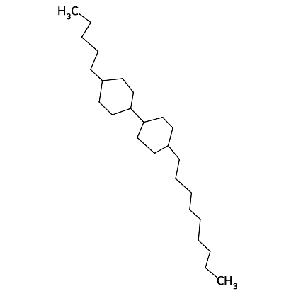 CCCCCCCCCC1CCC(C2CCC(CCCCC)CC2)CC1